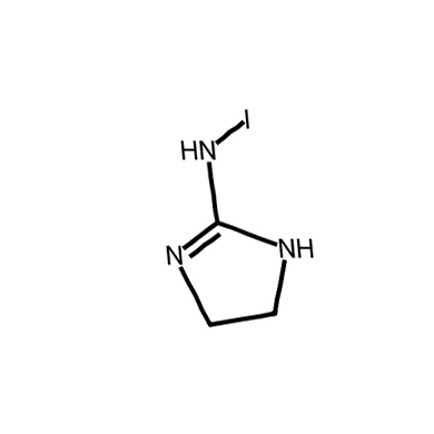 INC1=NCCN1